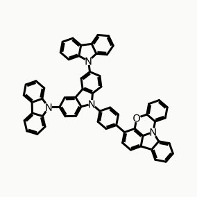 c1ccc2c(c1)Oc1c(-c3ccc(-n4c5ccc(-n6c7ccccc7c7ccccc76)cc5c5cc(-n6c7ccccc7c7ccccc76)ccc54)cc3)ccc3c4ccccc4n-2c13